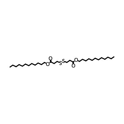 CCCCCCCCCCCCOC(=O)CCSSCCC(=O)OCCCCCCCCCCCC